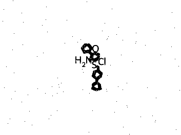 Nc1c(SCc2ccc(-c3ccccc3)cc2)c(Cl)cc2oc3ccccc3c12